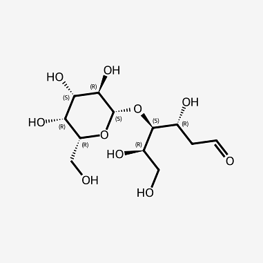 O=CC[C@@H](O)[C@H](O[C@@H]1O[C@H](CO)[C@H](O)[C@H](O)[C@H]1O)[C@H](O)CO